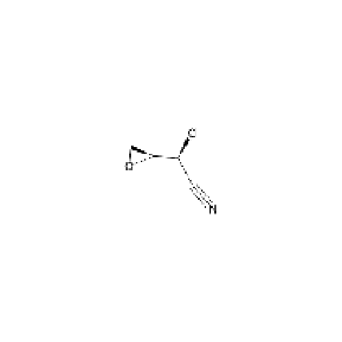 N#C[C@H](Cl)[C@@H]1CO1